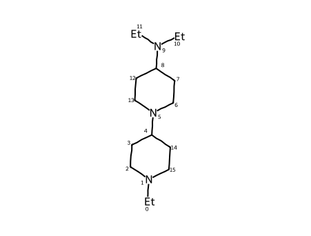 CCN1CCC(N2CCC(N(CC)CC)CC2)CC1